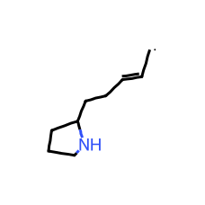 [CH2]C=CCCC1CCCN1